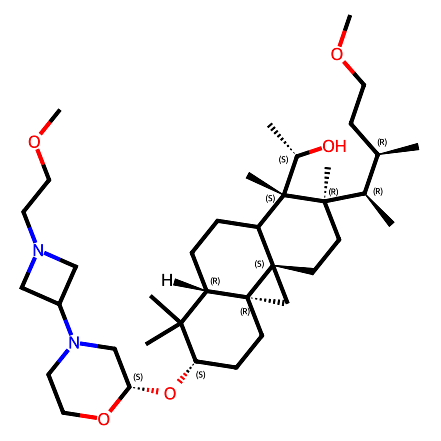 COCC[C@@H](C)[C@@H](C)[C@@]1(C)CC[C@@]23C[C@@]24CC[C@H](O[C@H]2CN(C5CN(CCOC)C5)CCO2)C(C)(C)[C@@H]4CCC3[C@]1(C)[C@H](C)O